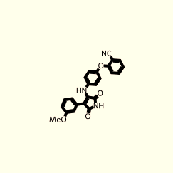 COc1cccc(C2=C(Nc3ccc(Oc4ccccc4C#N)cc3)C(=O)NC2=O)c1